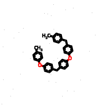 Cc1ccc(Cc2ccc(Oc3ccc(Cc4ccc(Oc5ccc(C)cc5)cc4)cc3)cc2)cc1